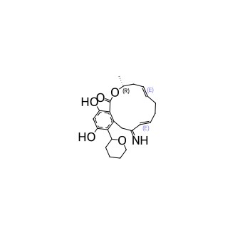 C[C@@H]1C/C=C/CC/C=C/C(=N)Cc2c(c(O)cc(O)c2C2CCCCO2)C(=O)O1